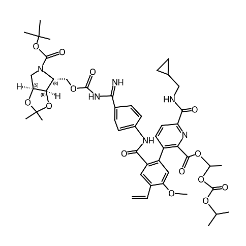 C=Cc1cc(C(=O)Nc2ccc(C(=N)NC(=O)OC[C@@H]3[C@H]4OC(C)(C)O[C@H]4CN3C(=O)OC(C)(C)C)cc2)c(-c2ccc(C(=O)NCC3CC3)nc2C(=O)OC(C)OC(=O)OC(C)C)cc1OC